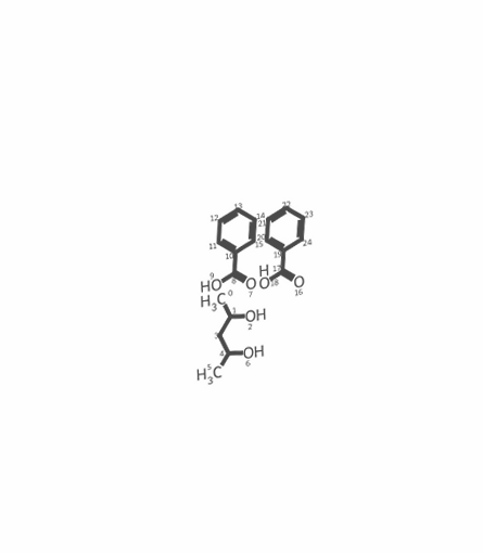 CC(O)CC(C)O.O=C(O)c1ccccc1.O=C(O)c1ccccc1